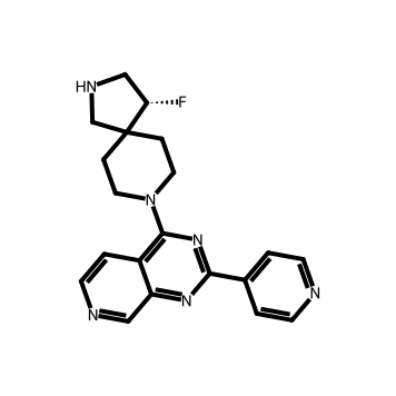 F[C@H]1CNCC12CCN(c1nc(-c3ccncc3)nc3cnccc13)CC2